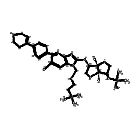 CC(C)(C)[Si](C)(C)OC1CO[C@H]2[C@@H]1OC[C@H]2Oc1nc2nc(-c3ccc(C4=CCSCC4)cc3)c(Cl)cc2n1COCC[Si](C)(C)C